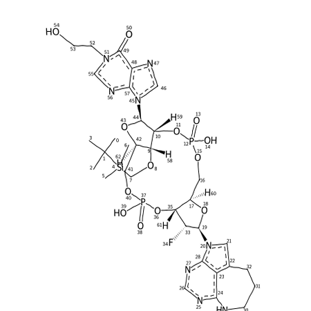 CC(C)(C)[Si](C)(C)CO[C@H]1[C@H]2OP(=O)(O)OC[C@H]3O[C@@H](n4cc5c6c(ncnc64)NCCC5)[C@H](F)[C@@H]3OP(=O)(O)OC[C@H]1O[C@H]2n1cnc2c(=O)n(CCO)cnc21